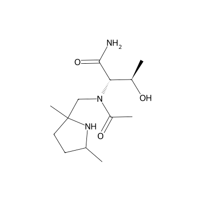 CC(=O)N(CC1(C)CCC(C)N1)[C@H](C(N)=O)[C@@H](C)O